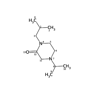 CC(C)CN1CCN(C(C)C)CC1=O